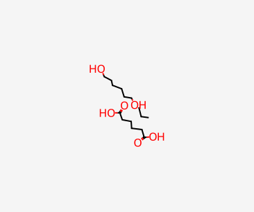 CCC.O=C(O)CCCCC(=O)O.OCCCCCCO